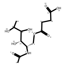 CC(=O)N[C@@H](COC(=O)CCC(=O)O)[C@H](O)C(O)C(C)O